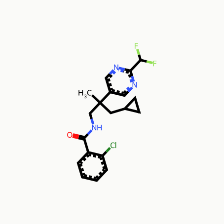 CC(CNC(=O)c1ccccc1Cl)(CC1CC1)c1cnc(C(F)F)nc1